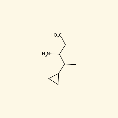 CC(C(N)CC(=O)O)C1CC1